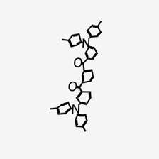 Cc1ccc(N(c2ccc(C)cc2)c2cccc(C(=O)c3cccc(C(=O)c4cccc(N(c5ccc(C)cc5)c5ccc(C)cc5)c4)c3)c2)cc1